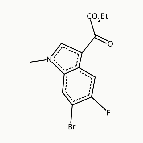 CCOC(=O)C(=O)c1cn(C)c2cc(Br)c(F)cc12